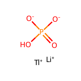 O=P([O-])([O-])O.[Li+].[Tl+]